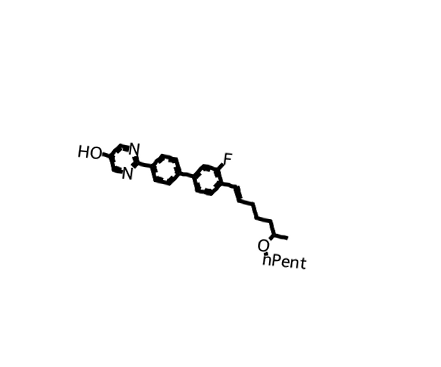 CCCCCOC(C)CCCC=Cc1ccc(-c2ccc(-c3ncc(O)cn3)cc2)cc1F